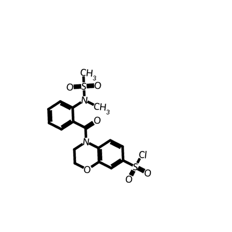 CN(c1ccccc1C(=O)N1CCOc2cc(S(=O)(=O)Cl)ccc21)S(C)(=O)=O